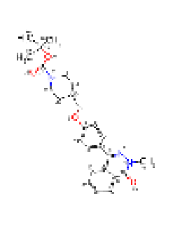 Cn1nc(-c2ccc(OCC3CCN(C(=O)OC(C)(C)C)CC3)cc2)c2ccccc2c1=O